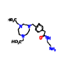 NCCNC(=O)Cc1ccc(CN2CCN(CC(=O)O)CCN(CC(=O)O)CC2)cc1